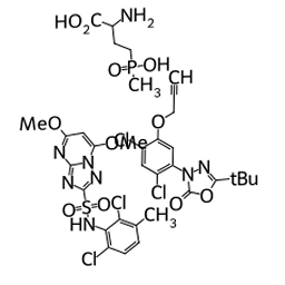 C#CCOc1cc(-n2nc(C(C)(C)C)oc2=O)c(Cl)cc1Cl.COc1cc(OC)n2nc(S(=O)(=O)Nc3c(Cl)ccc(C)c3Cl)nc2n1.CP(=O)(O)CCC(N)C(=O)O